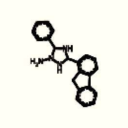 NN1NC(c2cccc3c2Cc2ccccc2-3)NC1c1ccccc1